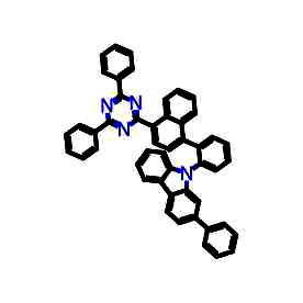 c1ccc(-c2ccc3c4ccccc4n(-c4ccccc4-c4ccc(-c5nc(-c6ccccc6)nc(-c6ccccc6)n5)c5ccccc45)c3c2)cc1